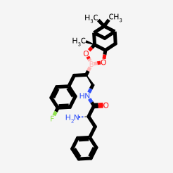 CC1(C)C2CC3OB([C@@H](CNC(=O)[C@@H](N)Cc4ccccc4)Cc4ccc(F)cc4)O[C@]3(C)C1C2